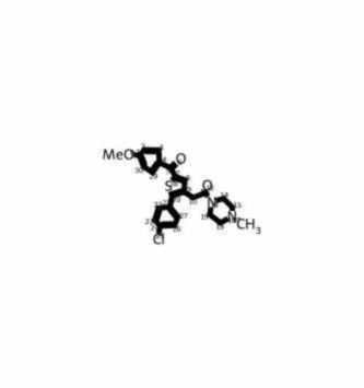 COc1ccc(C(=O)c2cc(CC(=O)N3CCN(C)CC3)c(-c3ccc(Cl)cc3)s2)cc1